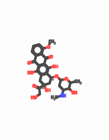 BNC1CC(O[C@H]2C[C@](O)(C(=O)CO)Cc3c(O)c4c(c(O)c32)C(=O)c2c(OC)cccc2C4=O)OC(C)C1O